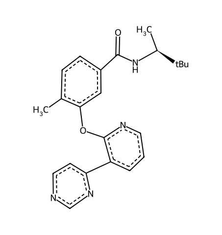 Cc1ccc(C(=O)N[C@@H](C)C(C)(C)C)cc1Oc1ncccc1-c1ccncn1